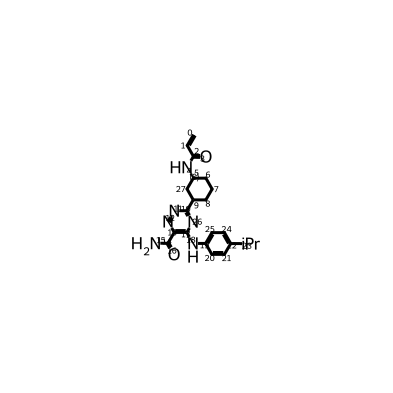 C=CC(=O)N[C@H]1CCCC(c2nnc(C(N)=O)c(Nc3ccc(C(C)C)cc3)n2)C1